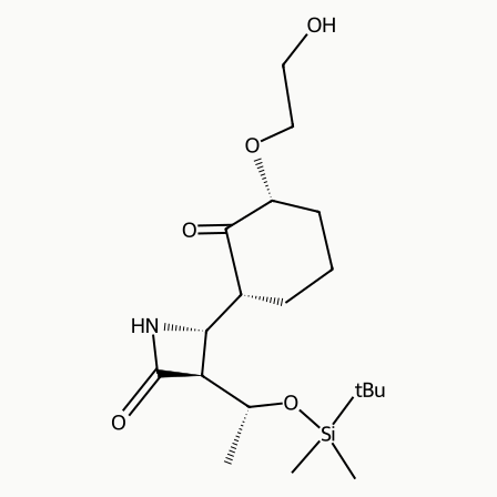 C[C@@H](O[Si](C)(C)C(C)(C)C)[C@H]1C(=O)N[C@@H]1[C@H]1CCC[C@@H](OCCO)C1=O